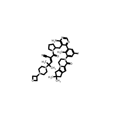 Cc1c(-c2ncnc(N)c2CC2CCCN2C(=O)C(C#N)=CC(C)(C)N2CCN(C3COC3)CC2)cc(F)cc1N1CCn2c(cc3c2CC(C)(C)C3)C1=O